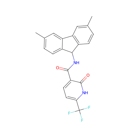 Cc1ccc2c(c1)-c1cc(C)ccc1C2NC(=O)c1ccc(C(F)(F)F)[nH]c1=O